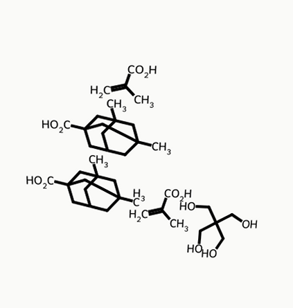 C=C(C)C(=O)O.C=C(C)C(=O)O.CC12CC3CC(C)(C1)CC(C(=O)O)(C3)C2.CC12CC3CC(C)(C1)CC(C(=O)O)(C3)C2.OCC(CO)(CO)CO